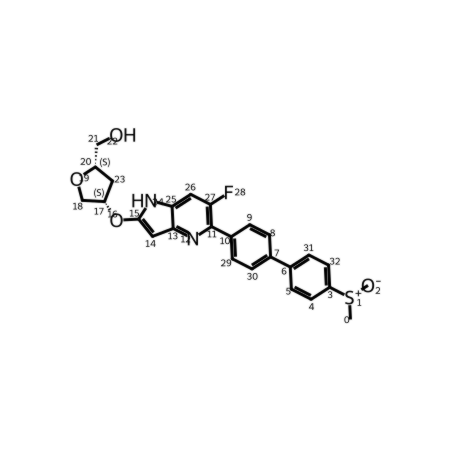 C[S+]([O-])c1ccc(-c2ccc(-c3nc4cc(O[C@@H]5CO[C@H](CO)C5)[nH]c4cc3F)cc2)cc1